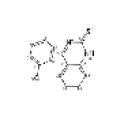 Clc1ccccc1.S=c1ncc2ccccc2[nH]1